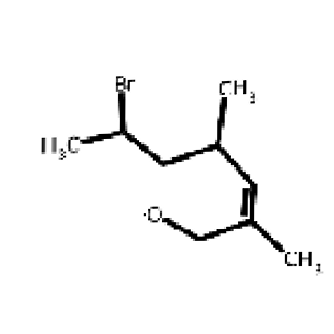 CC(=CC(C)CC(C)Br)C[O]